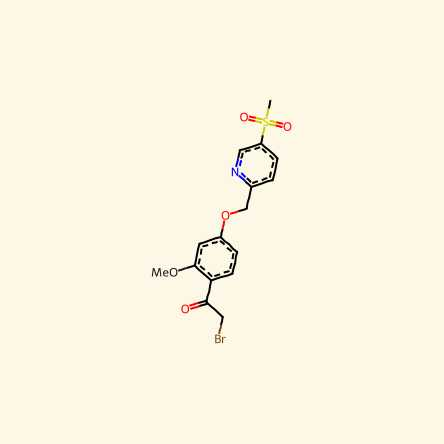 COc1cc(OCc2ccc(S(C)(=O)=O)cn2)ccc1C(=O)CBr